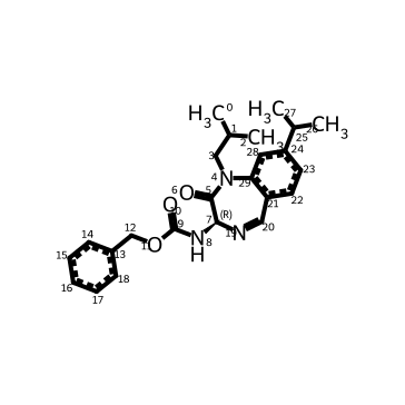 CC(C)CN1C(=O)[C@H](NC(=O)OCc2ccccc2)N=Cc2ccc(C(C)C)cc21